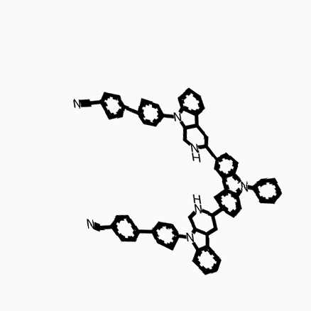 N#Cc1ccc(-c2ccc(N3c4ccccc4C4CC(c5ccc6c(c5)c5cc(C7CC8c9ccccc9N(c9ccc(-c%10ccc(C#N)cc%10)cc9)C8CN7)ccc5n6-c5ccccc5)NCC43)cc2)cc1